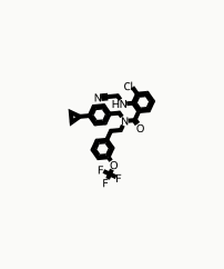 N#CCNc1c(Cl)cccc1C(=O)N(CCc1cccc(OC(F)(F)F)c1)Cc1ccc(C2CC2)cc1